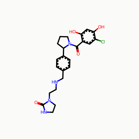 O=C1NCCN1CCNCc1ccc(C2CCCN2C(=O)c2cc(Cl)c(O)cc2O)cc1